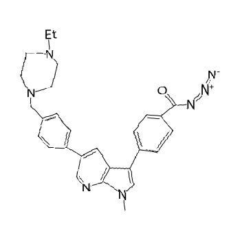 CCN1CCN(Cc2ccc(-c3cnc4c(c3)c(-c3ccc(C(=O)N=[N+]=[N-])cc3)cn4C)cc2)CC1